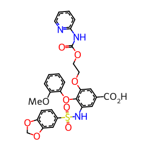 COc1ccccc1Oc1c(NS(=O)(=O)c2ccc3c(c2)OCO3)cc(C(=O)O)cc1OCCOC(=O)Nc1ccccn1